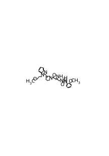 COCCCn1c([C@@H]2CCCN(C(=O)C[C@H](N)CNC(=O)Nc3ccccc3OC)C2)nc2ccccc21